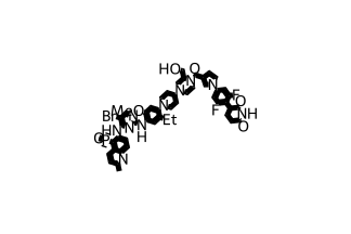 CCc1cc(Nc2ncc(Br)c(Nc3ccc4nc(C)ccc4c3P(C)(C)=O)n2)c(OC)cc1N1CCC(N2CCN(C(=O)C3CCN(c4cc(F)c(C5CCC(=O)NC5=O)c(F)c4)C3)C(CO)C2)CC1